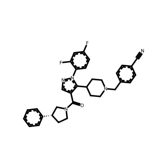 N#Cc1ccc(CN2CCC(c3c(C(=O)N4CC[C@H](c5ccccc5)C4)cnn3-c3ccc(F)cc3F)CC2)cc1